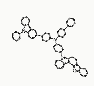 c1ccc(-c2ccc(N(c3ccc(-c4ccc5c(c4)c4ccccc4n5-c4ccccc4)cc3)c3ccc(-n4c5ccccc5c5c6oc7ccccc7c6ccc54)cc3)cc2)cc1